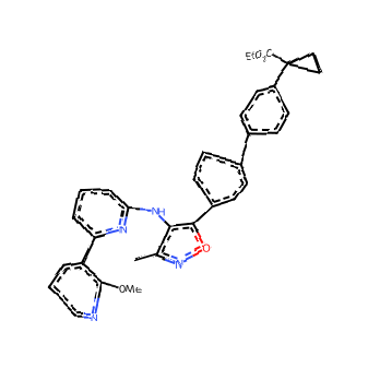 CCOC(=O)C1(c2ccc(-c3ccc(-c4onc(C)c4Nc4cccc(-c5cccnc5OC)n4)cc3)cc2)CC1